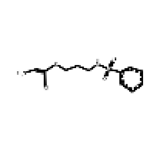 O=[N+]([O-])C=C(Cl)SCCCNS(=O)(=O)c1ccccc1